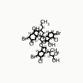 CCCCCC(CC(=O)Oc1cn(C(C)CC(=O)O)c2cc(Cl)c(Br)cc12)(n1cc(O)c2cc(Br)c(Cl)cc21)n1cc(O)c2c(Cl)c(Br)ccc21